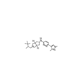 Cc1nn(C)cc1-c1ccc(N[C@H]2C[C@@H]3CN(CC(C)C(C)(C)C)C[C@@H]3C2)nn1